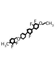 CCCOc1ccc(-c2ccc(C3=CCC(OCc4ccc(C)c(F)c4F)CC3)c(F)c2)c(F)c1F